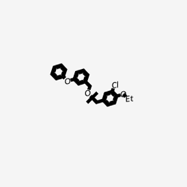 CCOc1ccc(CC(C)(C)OCc2cccc(Oc3ccccc3)c2)cc1Cl